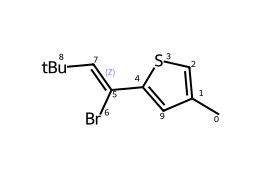 Cc1csc(/C(Br)=C/C(C)(C)C)c1